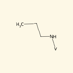 CCC[NH][V]